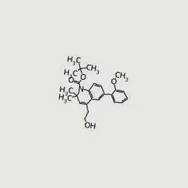 COc1ccccc1-c1ccc2c(c1)C(CCO)=CC(C)(C)N2C(=O)OC(C)(C)C